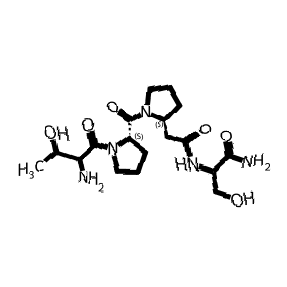 CC(O)C(N)C(=O)N1CCC[C@H]1C(=O)N1CCC[C@H]1CC(=O)NC(CO)C(N)=O